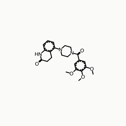 COc1cc(C(=O)N2CCN(c3cccc4c3CCC(=O)N4)CC2)cc(OC)c1OC